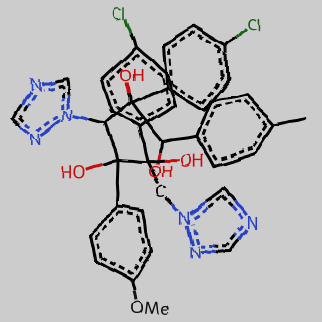 COc1ccc(C(O)(C(n2cncn2)C(O)(c2ccc(Cl)cc2)C(O)c2ccc(C)cc2)C(O)(Cn2cncn2)c2ccc(Cl)cc2)cc1